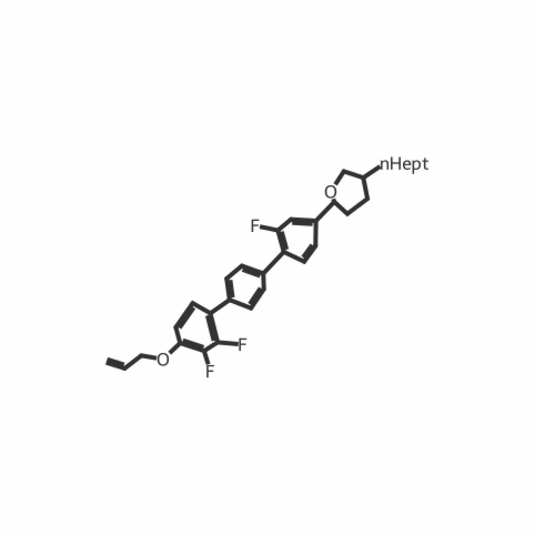 C=CCOc1ccc(-c2ccc(-c3ccc(C4CCC(CCCCCCC)CO4)cc3F)cc2)c(F)c1F